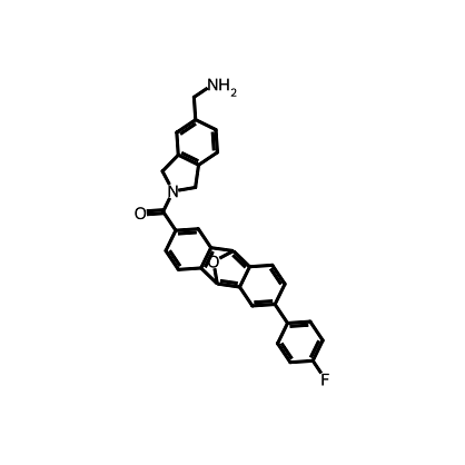 NCc1ccc2c(c1)CN(C(=O)c1ccc3c(c1)c1oc3c3cc(-c4ccc(F)cc4)ccc31)C2